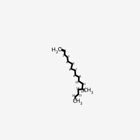 C=CCCCCCCCCCCC(C)CCCC